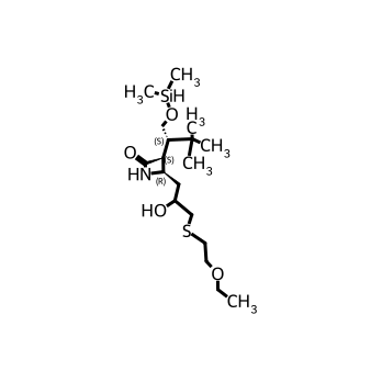 CCOCCSCC(O)C[C@H]1NC(=O)[C@H]1[C@H](CO[SiH](C)C)C(C)(C)C